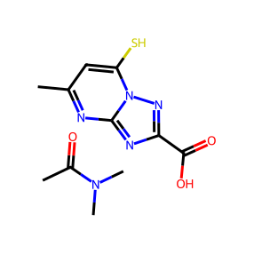 CC(=O)N(C)C.Cc1cc(S)n2nc(C(=O)O)nc2n1